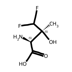 C[C@@](O)(C(F)F)[C@H](N)C(=O)O